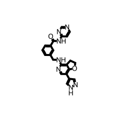 O=C(Nc1ccncn1)c1cccc(CNc2ncc(-c3cn[nH]c3)c3c2CCO3)c1